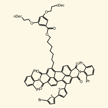 CCCCCCCCCCCCOc1cc(OCCCCCCCCCCCC)cc(C(=O)OCCCCCCCc2cc3c4c(ccc5c6c(-c7ccc(-c8ccc(Br)s8)s7)cc7c8c(ccc(c2c45)c86)C(=O)N(c2c(C(C)C)cccc2C(C)C)C7=O)C(=O)N(c2c(C(C)C)cccc2C(C)C)C3=O)c1